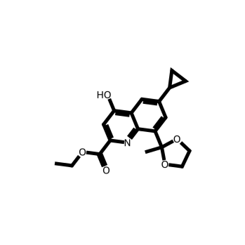 CCOC(=O)c1cc(O)c2cc(C3CC3)cc(C3(C)OCCO3)c2n1